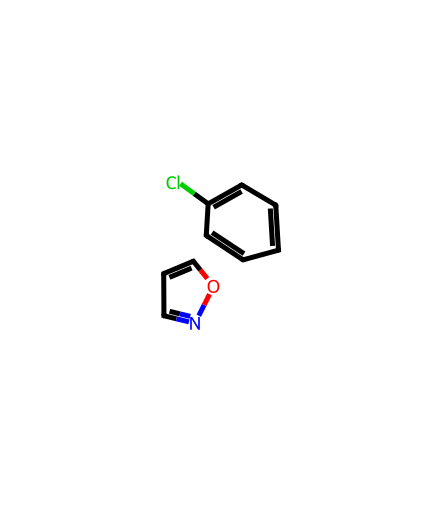 Clc1ccccc1.c1cnoc1